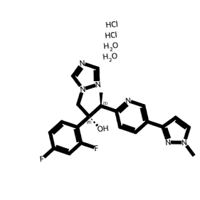 C[C@@H](c1ccc(-c2ccn(C)n2)cn1)[C@](O)(Cn1cncn1)c1ccc(F)cc1F.Cl.Cl.O.O